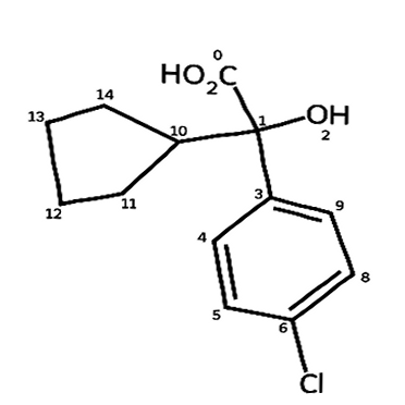 O=C(O)C(O)(c1ccc(Cl)cc1)C1CCCC1